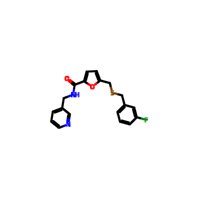 O=C(NCc1cccnc1)c1ccc(CSCc2cccc(F)c2)o1